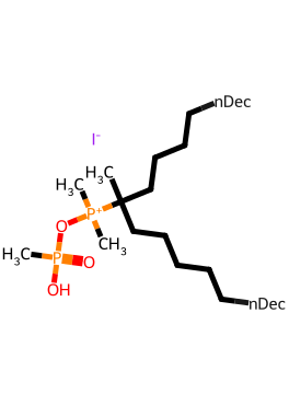 CCCCCCCCCCCCCCCC(C)(CCCCCCCCCCCCCC)[P+](C)(C)OP(C)(=O)O.[I-]